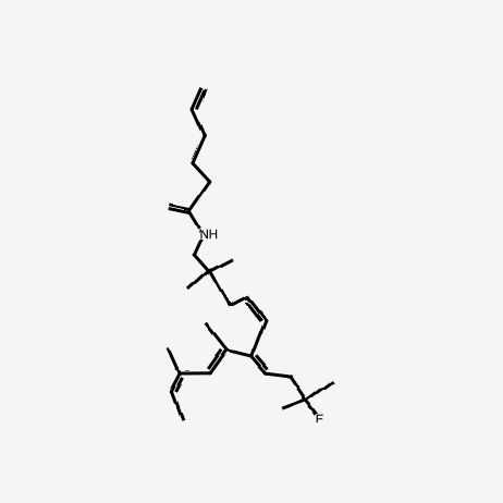 C=CCCCC(=C)NCC(C)(C)C\C=C/C(=C\CC(C)(C)F)C(/C)=C/C(C)=C\C